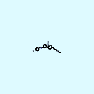 CCCCC/C=C/c1ccc2c(n1)[nH]c1ccc(/C=C/c3ccc(OC)cc3)cc12